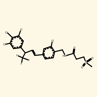 CS(=O)(=O)CCC(=O)NCc1ccc(/C=C/C(c2cc(Cl)c(Cl)c(Cl)c2)C(F)(F)F)cc1Cl